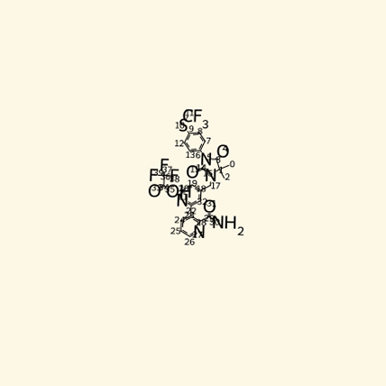 CC1(C)C(=O)N(c2ccc(SC(F)(F)F)cc2)C(=O)N1Cc1ccnc(-c2cccnc2C(N)=O)c1.O=C(O)C(F)(F)F